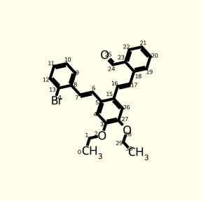 CCOc1cc(/C=C/c2ccccc2Br)c(/C=C/c2ccccc2C=O)cc1OCC